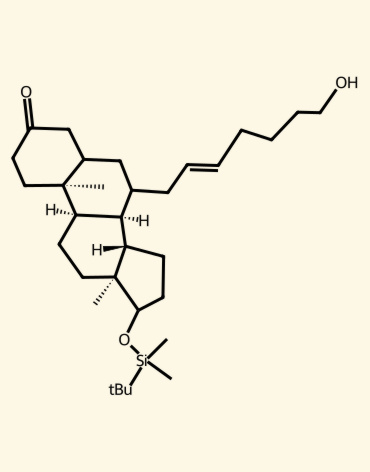 CC(C)(C)[Si](C)(C)OC1CC[C@H]2[C@@H]3C(CC=CCCCCO)CC4CC(=O)CC[C@]4(C)[C@@H]3CC[C@]12C